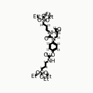 CCO[Si](CCCNC(=O)Oc1ccc(N(CC2CO2)C(=O)NCCC[Si](OCC)(OCC)OCC)cc1)(OCC)OCC